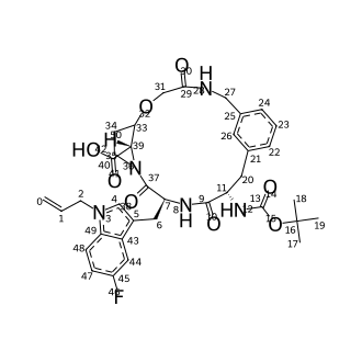 C=CCn1cc(C[C@@H]2NC(=O)[C@@H](NC(=O)OC(C)(C)C)Cc3cccc(c3)CNC(=O)COC3CCN(C2=O)[C@@H]3C(=O)O)c2cc(F)ccc21